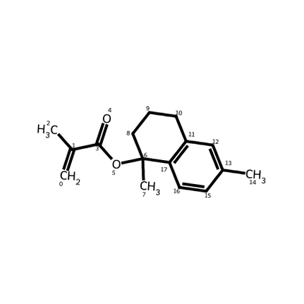 C=C(C)C(=O)OC1(C)CCCc2cc(C)ccc21